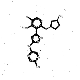 COc1c(Cl)ccc(O[C@@H]2CC[C@H](N)C2)c1-c1cc(Nc2cnc(C#N)cn2)n[nH]1